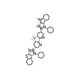 CN1B(c2cnc3c(c2)C(C)(C)c2cc(B4N(C)c5c(c6ccccc6n5C)N4c4ccccc4)cnc2-3)N(c2ccccc2)c2c1sc1ccccc21